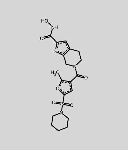 Cc1oc(S(=O)(=O)N2CCCCC2)cc1C(=O)N1CCc2cc(C(=O)NO)sc2C1